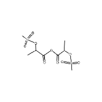 CC(OS(C)(=O)=O)C(=O)OC(=O)C(C)OS(C)(=O)=O